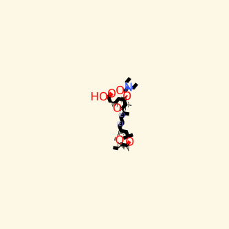 CC[C@H](OC)[C@@H](C)OC(C)(C)C[C@H](C)/C=C/C=C(\C)[C@H]1O[C@@H](CC(=O)O)C[C@@H](OC(=O)N(CC)CC)[C@@H]1C